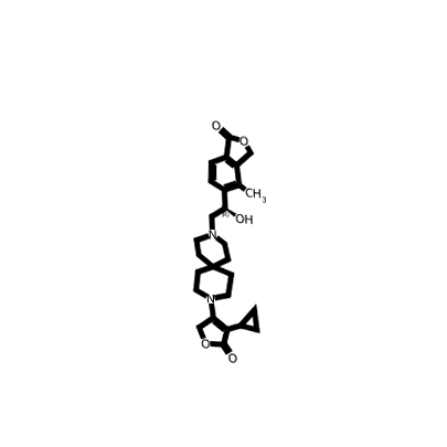 Cc1c([C@@H](O)CN2CCC3(CC2)CCN(C2=C(C4CC4)C(=O)OC2)CC3)ccc2c1COC2=O